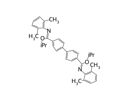 Cc1cccc(C)c1/N=C(\OC(C)C)c1ccc(-c2ccc(/C(=N/c3c(C)cccc3C)OC(C)C)cc2)cc1